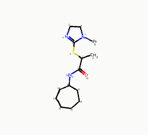 CC(SC1=NCCN1C(C)C)C(=O)NC1CCCCCC1